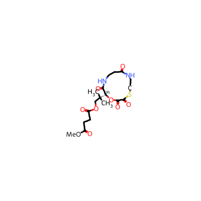 COC(=O)CCC(=O)OCC(C)(C)[C@H]1OC(=O)C(=O)SCCNC(=O)CCNC1=O